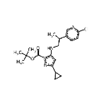 CC(CNc1cc(C2CC2)nn1C(=O)OC(C)(C)C)c1ccc(Cl)nc1